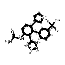 NC(=O)Nc1ccc(-c2ccsc2)c(-c2cccc(C(F)(F)F)c2)c1-c1nnn[nH]1